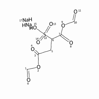 O=COC(=O)CC(C(=O)OC=O)S(=O)(=O)O.[NaH].[NaH]